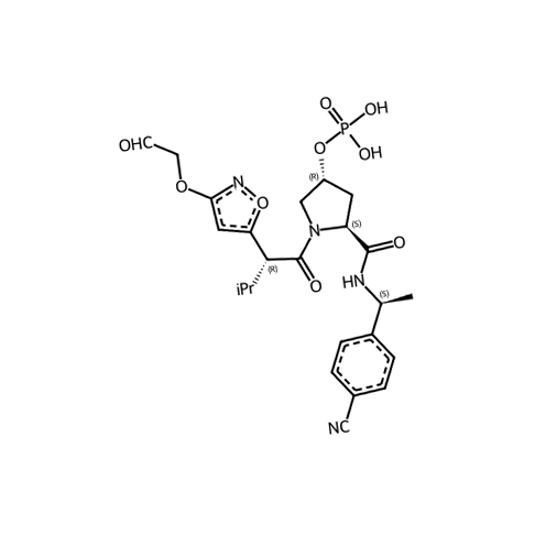 CC(C)[C@@H](C(=O)N1C[C@H](OP(=O)(O)O)C[C@H]1C(=O)N[C@@H](C)c1ccc(C#N)cc1)c1cc(OCC=O)no1